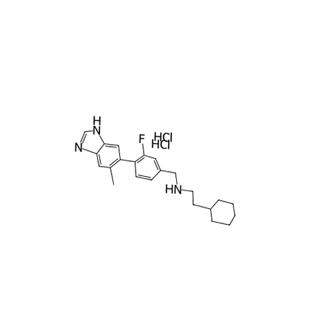 Cc1cc2nc[nH]c2cc1-c1ccc(CNCCC2CCCCC2)cc1F.Cl.Cl